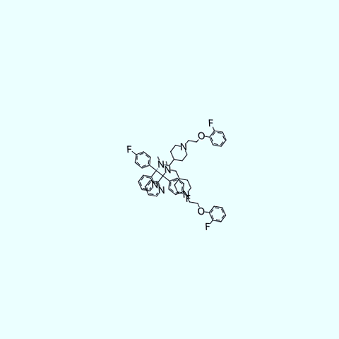 CN(CC1CCN(CCOc2ccccc2F)CC1)C(c1ccc(F)cc1)(c1ccccn1)[C@](c1ccc(F)cc1)(c1ccccn1)N(C)CC1CCN(CCOc2ccccc2F)CC1